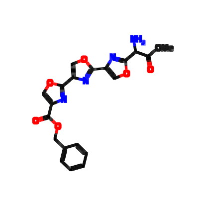 COC(=O)C(N)c1nc(-c2nc(-c3nc(C(=O)OCc4ccccc4)co3)co2)co1